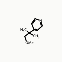 COCC(C)(C)c1ccncc1